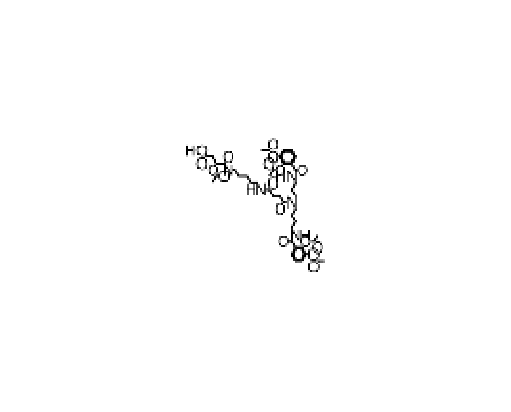 CC(=O)Oc1cccc(C(=O)NCCCCN(CCCNC(=O)c2cccc(OC(C)=O)c2OC(C)=O)C(=O)CCC(=O)NCCCCCN(OC(C)=O)C(=O)CCC(=O)O)c1OC(C)=O